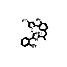 CC(C)c1c[nH]c(-c2cc(CC(C)c3nc(-c4ccccc4C(C)C)c[nH]3)ccc2C(C)C)c1